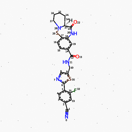 N#Cc1ccc(-c2ncc(CNC(=O)c3ccc4c(c3)NC(=O)[C@@H]3CCCCN3S4)s2)c(F)c1